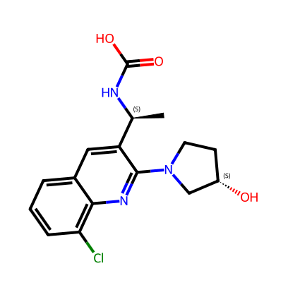 C[C@H](NC(=O)O)c1cc2cccc(Cl)c2nc1N1CC[C@H](O)C1